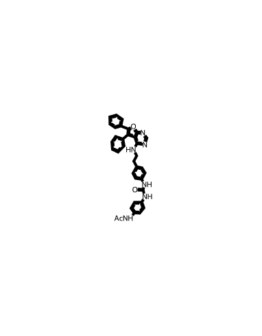 CC(=O)Nc1ccc(NC(=O)Nc2ccc(CCNc3ncnc4oc(-c5ccccc5)c(-c5ccccc5)c34)cc2)cc1